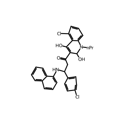 CCCN1c2cccc(Cl)c2C(O)=C(C(=O)CC(Nc2cccc3ccccc23)c2ccc(Cl)cc2)C1O